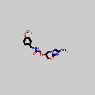 O=C(COC1COc2nc([N+](=O)[O-])cn2C1)NCc1ccc(OC(F)(F)F)cc1